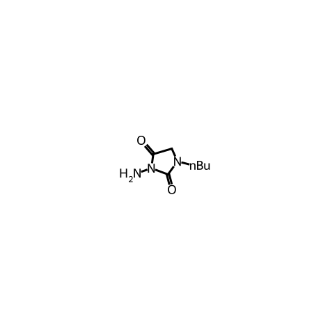 CCCCN1CC(=O)N(N)C1=O